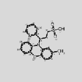 Cc1ccc2c(c1)N(C(CCS(=O)(=O)O)c1ncccn1)c1ccccc1O2